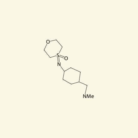 CNCC1CCC(N=S2(=O)CCOCC2)CC1